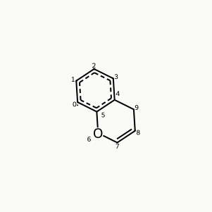 [c]1cccc2c1OC=CC2